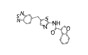 O=C(Nc1ncc(Cc2ccc3nsnc3c2)s1)c1coc2ccccc12